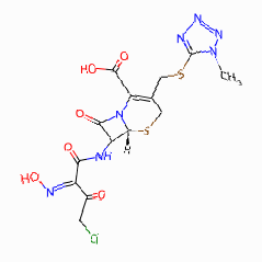 Cn1nnnc1SCC1=C(C(=O)O)N2C(=O)C(NC(=O)/C(=N\O)C(=O)CCl)[C@H]2SC1